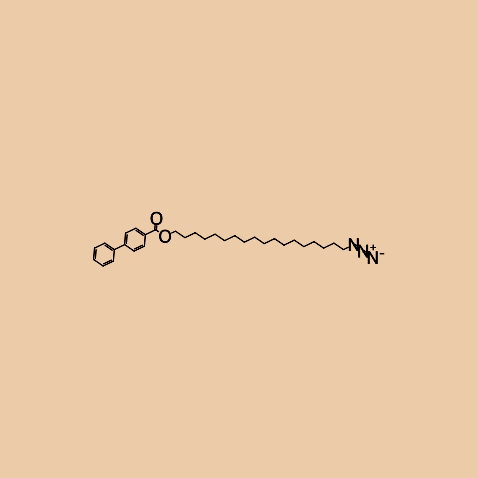 [N-]=[N+]=NCCCCCCCCCCCCCCCCCCOC(=O)c1ccc(-c2ccccc2)cc1